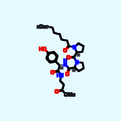 CCCCCCCCCCCCCCCC(=O)N1CCC[C@H]1C(=O)N1CCC[C@H]1C(=O)N[C@H](C(=O)NCCC(=O)OC)c1ccc(O)cc1